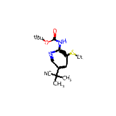 CCSc1cc(C(C)(C)C#N)cnc1NC(=O)OC(C)(C)C